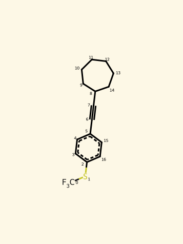 FC(F)(F)Sc1ccc(C#CC2CCCCCC2)cc1